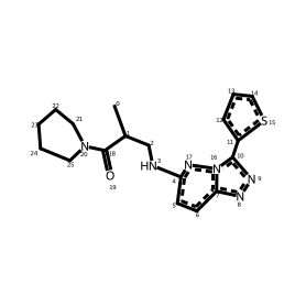 CC(CNc1ccc2nnc(-c3cccs3)n2n1)C(=O)N1CCCCC1